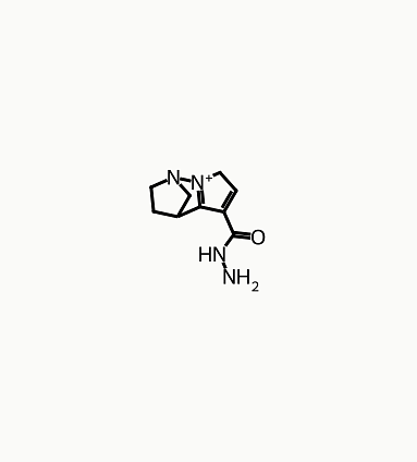 NNC(=O)C1=CC[N+]2=C1C1CCN2C1